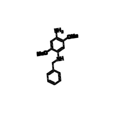 COc1cc(NCc2ccccc2)c(OC)cc1N